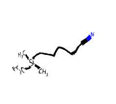 C[Si](C)(C)CCCCC#N